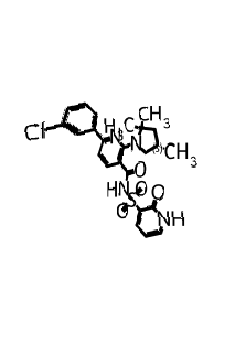 C[C@@H]1CN(c2nc(-c3cccc(Cl)c3)ccc2C(=O)NS(=O)(=O)c2ccc[nH]c2=O)C(C)(C)C1